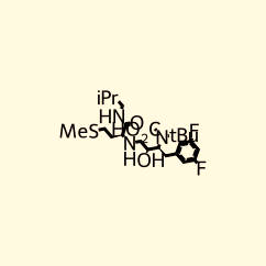 CSCC[C@H](NC[C@@H](O)[C@H](Cc1cc(F)cc(F)c1)N(C(=O)O)C(C)(C)C)C(=O)NCC(C)C